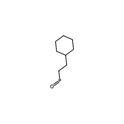 O=PCCC1CCCCC1